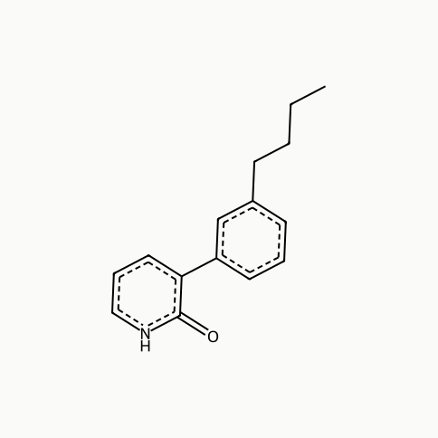 CCCCc1cccc(-c2ccc[nH]c2=O)c1